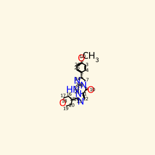 COc1ccc([C@H]2CN3C(=O)c4cnc(C5CCOCC5)n4NC3=N2)cc1